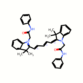 CC1(C)C(/C=C/C=C/C=C2/N(CC(=O)Nc3ccccc3)c3ccccc3C2(C)C)=[N+](CC(=O)Nc2ccccc2)c2ccccc21